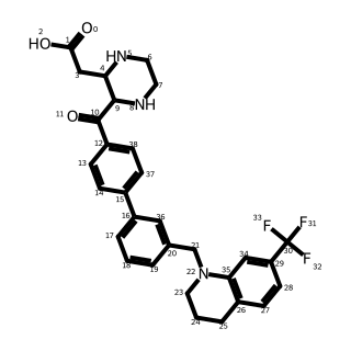 O=C(O)CC1NCCNC1C(=O)c1ccc(-c2cccc(CN3CCCc4ccc(C(F)(F)F)cc43)c2)cc1